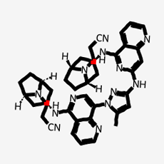 Cc1cc(Nc2cc3ncccc3c(N[C@@H]3C[C@H]4CC[C@@H](C3)N4CCC#N)n2)nn1-c1cnc(N[C@@H]2C[C@H]3CC[C@@H](C2)N3CCC#N)c2cccnc12